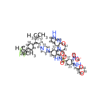 CC1(C)CCC(CN2CCN(c3ccc(C(=O)NS(=O)(=O)c4ccc(NC[C@H]5COCCO5)c([N+](=O)[O-])c4)c(N4CCCOc5nc6[nH]ccc6cc54)c3)CC2)=C(c2ccc(C(C)(C)C(F)(F)F)cc2)C1